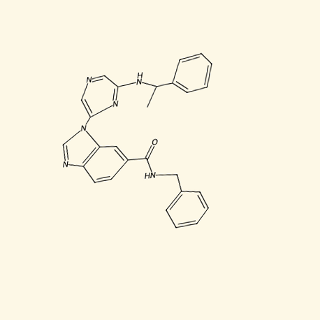 CC(Nc1cncc(-n2cnc3ccc(C(=O)NCc4ccccc4)cc32)n1)c1ccccc1